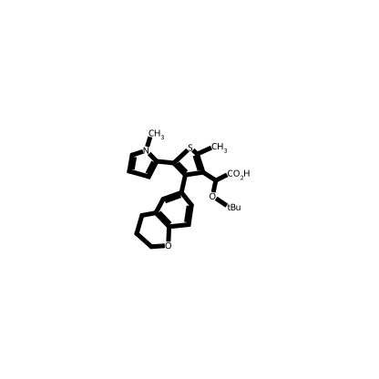 Cc1sc(-c2cccn2C)c(-c2ccc3c(c2)CCCO3)c1C(OC(C)(C)C)C(=O)O